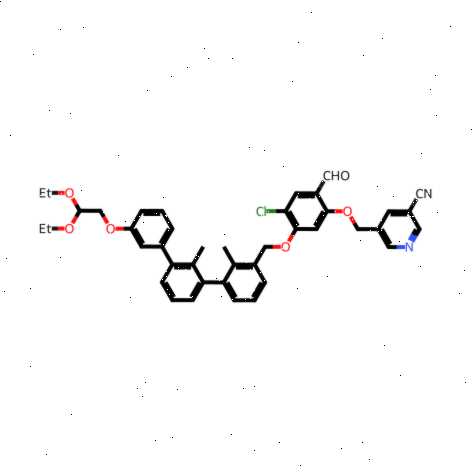 CCOC(COc1cccc(-c2cccc(-c3cccc(COc4cc(OCc5cncc(C#N)c5)c(C=O)cc4Cl)c3C)c2C)c1)OCC